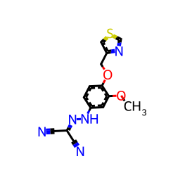 COc1cc(NN=C(C#N)C#N)ccc1OCc1cscn1